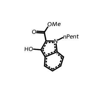 CCCCCn1c(C(=O)OC)c(O)c2ccccc21